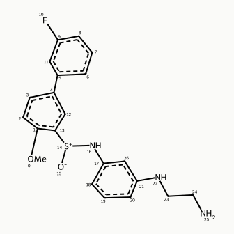 COc1ccc(-c2cccc(F)c2)cc1[S+]([O-])Nc1cccc(NCCN)c1